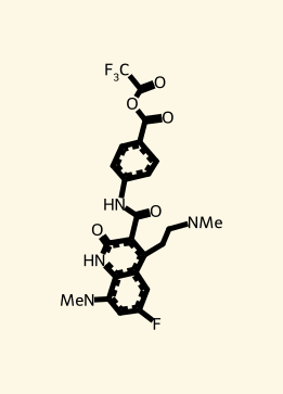 CNCCc1c(C(=O)Nc2ccc(C(=O)OC(=O)C(F)(F)F)cc2)c(=O)[nH]c2c(NC)cc(F)cc12